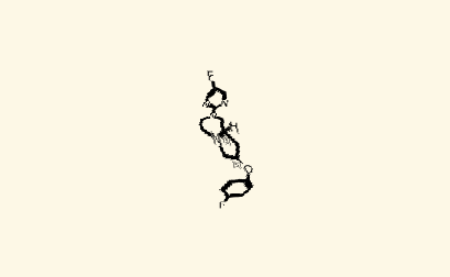 Fc1ccc(O[C@H]2C[C@H]3CN(c4ncc(F)cn4)CCN3C2)cc1